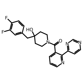 O=C(c1cccnc1-c1ccncn1)N1CCC(O)(Cc2ccc(F)c(F)c2)CC1